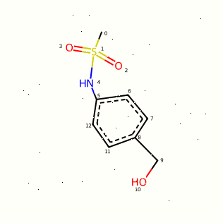 CS(=O)(=O)Nc1ccc(CO)cc1